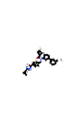 Cc1cccc(-c2cccc(N(CC34CCC(c5nc(C6CC6)no5)(CC3)CC4)C(=O)C34CC(F)(C3)C4)c2)c1